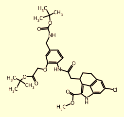 COC(=O)c1[nH]c2cc(Cl)cc3c2c1C(CC(=O)Nc1ccc(CNC(=O)OC(C)(C)C)cc1OCC(=O)OC(C)(C)C)CC3